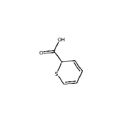 O=C(O)C1C=CC=CS1